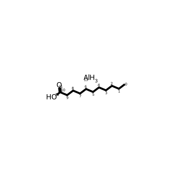 CCCCCCCCCCC(=O)O.[AlH3]